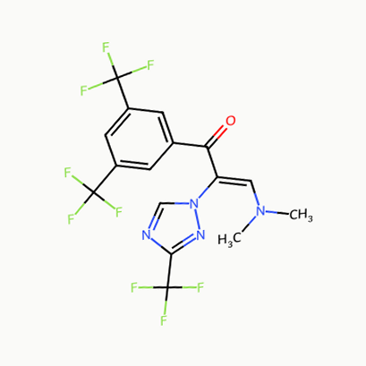 CN(C)C=C(C(=O)c1cc(C(F)(F)F)cc(C(F)(F)F)c1)n1cnc(C(F)(F)F)n1